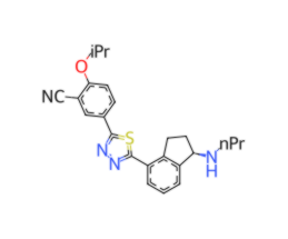 CCCN[C@@H]1CCc2c(-c3nnc(-c4ccc(OC(C)C)c(C#N)c4)s3)cccc21